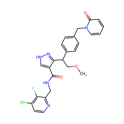 COCC(c1ccc(Cn2ccccc2=O)cc1)c1n[nH]cc1C(=O)NCc1nccc(Cl)c1F